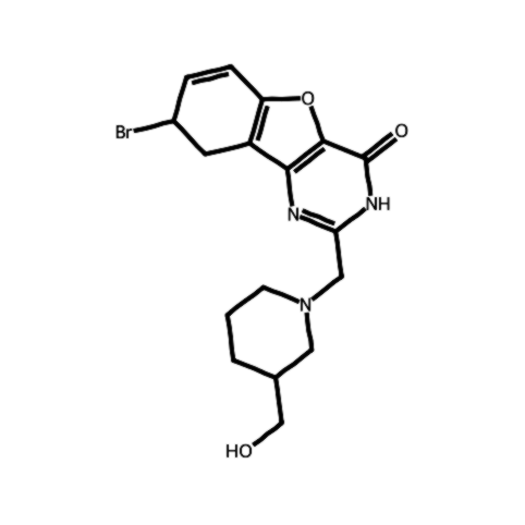 O=c1[nH]c(CN2CCCC(CO)C2)nc2c3c(oc12)C=CC(Br)C3